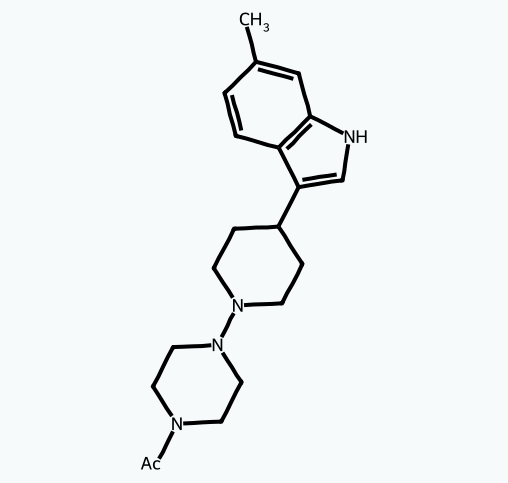 CC(=O)N1CCN(N2CCC(c3c[nH]c4cc(C)ccc34)CC2)CC1